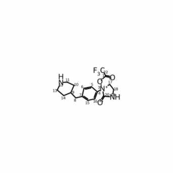 O=C(O[N+]1(c2ccc(CC3CCNCC3)cc2)CCNC1=O)C(F)(F)F